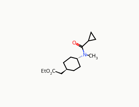 CCOC(=O)C[C@H]1CC[C@H](N(C)C(=O)C2CC2)CC1